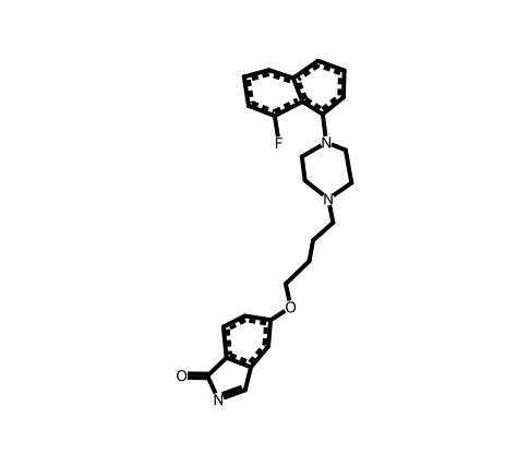 O=C1N=Cc2cc(OCCCCN3CCN(c4cccc5cccc(F)c45)CC3)ccc21